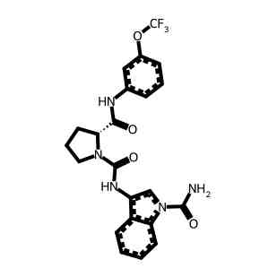 NC(=O)n1cc(NC(=O)N2CCC[C@@H]2C(=O)Nc2cccc(OC(F)(F)F)c2)c2ccccc21